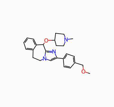 COCc1ccc(-c2cn3c(n2)C(OC2CCN(C)CC2)c2ccccc2CC3)cc1